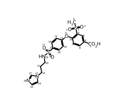 CS(=O)(=O)c1cc(C(=O)O)ccc1Oc1ccc(S(=O)(=O)NCCCn2ccnc2)cc1